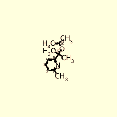 Cc1cccc(C(C)(C)OC(C)C)n1